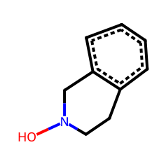 ON1CCc2ccccc2C1